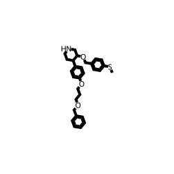 CSc1ccc(COC2CNCCC2c2ccc(OCCCOCc3ccccc3)cc2)cc1